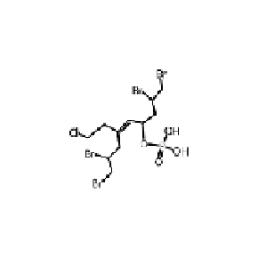 O=P(O)(O)OC(C=C(CCCl)CC(Br)CBr)CC(Br)CBr